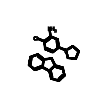 Nc1cc(N2CCCC2)ccc1Cl.c1ccc2c(c1)Cc1ccccc1-2